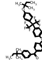 CCC(C)(C)Oc1ccc(C(c2ccc(Oc3ccc(C(=O)c4ccc(C(C)(C)CC)cc4)cc3)cc2)(C(F)(F)F)C(F)(F)F)cc1